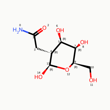 NC(=O)C[C@@H]1[C@@H](O)[C@@H](O)[C@@H](CO)O[C@H]1O